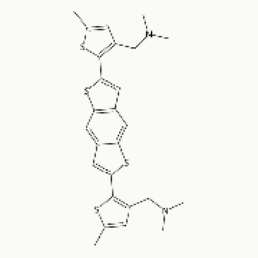 Cc1cc(CN(C)C)c(-c2cc3cc4sc(-c5sc(C)cc5CN(C)C)cc4cc3s2)s1